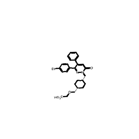 CCc1ccc(-c2nn(C[C@H]3CC[C@@H](COCC(=O)O)CC3)c(=O)cc2-c2ccccc2)cc1